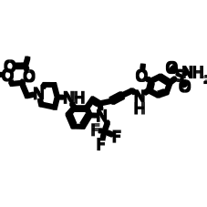 COCC(CN1CCC(Nc2cccc3c2cc(C#CCNc2ccc(S(N)(=O)=O)cc2OC)n3CC(F)(F)F)CC1)OC(C)=O